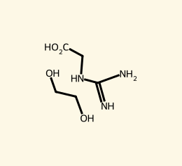 N=C(N)NCC(=O)O.OCCO